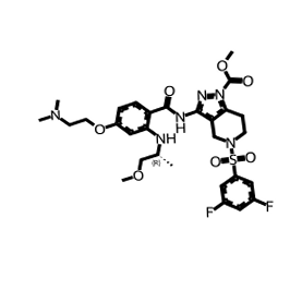 COC[C@@H](C)Nc1cc(OCCN(C)C)ccc1C(=O)Nc1nn(C(=O)OC)c2c1CN(S(=O)(=O)c1cc(F)cc(F)c1)CC2